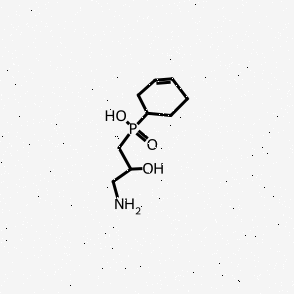 NCC(O)CP(=O)(O)C1CC=CCC1